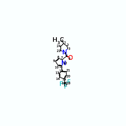 CC1CCN(C(=O)c2cccc(-c3ccc(C(F)(F)F)cc3)n2)CC1